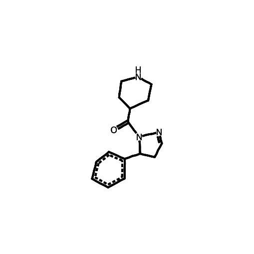 O=C(C1CCNCC1)N1N=CCC1c1ccccc1